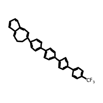 FC(F)(F)c1ccc(-c2ccc(-c3ccc(-c4ccc(/C5=C/C=c6/cccc/c6=C/CC5)cc4)cc3)cc2)cc1